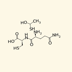 CC(O)S.NC(=O)CC[C@H](N)C(=O)N[C@@H](CS)C(=O)O